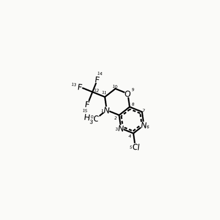 CN1c2nc(Cl)ncc2OCC1C(F)(F)F